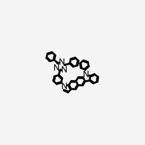 c1ccc(-c2nc(-c3ccccc3)nc(-c3cccc(-n4ccc5cc6cc7c8ccccc8n(-c8ccccc8)c7cc6cc54)c3)n2)cc1